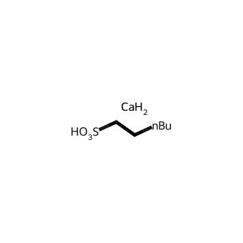 CCCCCCS(=O)(=O)O.[CaH2]